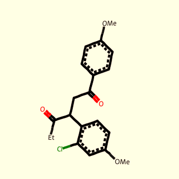 CCC(=O)C(CC(=O)c1ccc(OC)cc1)c1ccc(OC)cc1Cl